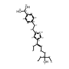 CCC(=CCCC(O)(CC)CC)c1csc(CCc2ccc(C(O)O)cc2)c1